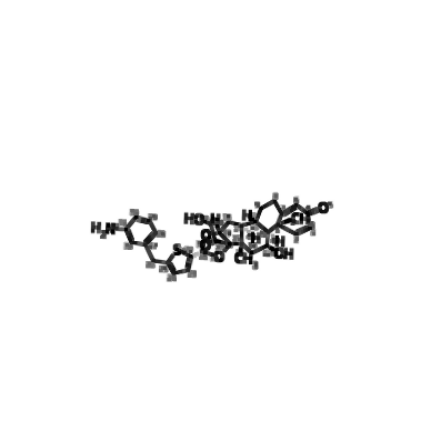 C[C@]12C=CC(=O)C=C1CC[C@@H]1[C@@H]2[C@@H](O)C[C@@]2(C)[C@H]1C[C@H]1O[C@@H](c3ccc(Cc4cccc(N)c4)s3)O[C@]12C(=O)CO